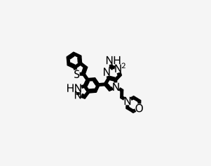 Nc1ncc2c(n1)c(-c1cc(-c3cc4ccccc4s3)c3[nH]ncc3c1)cn2CCN1CCOCC1